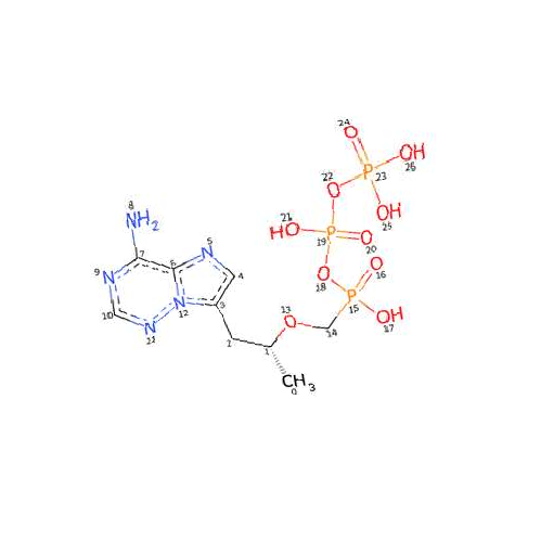 C[C@H](Cc1cnc2c(N)ncnn12)OCP(=O)(O)OP(=O)(O)OP(=O)(O)O